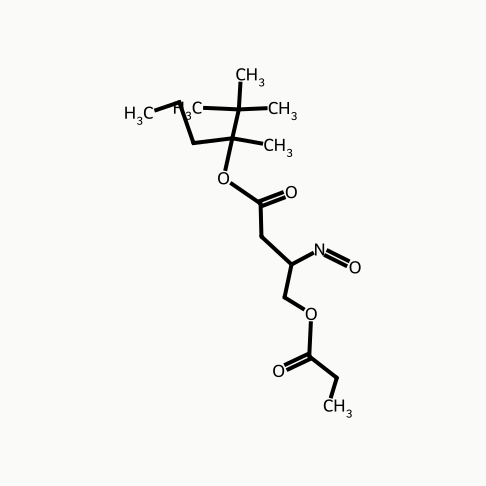 CCCC(C)(OC(=O)CC(COC(=O)CC)N=O)C(C)(C)C